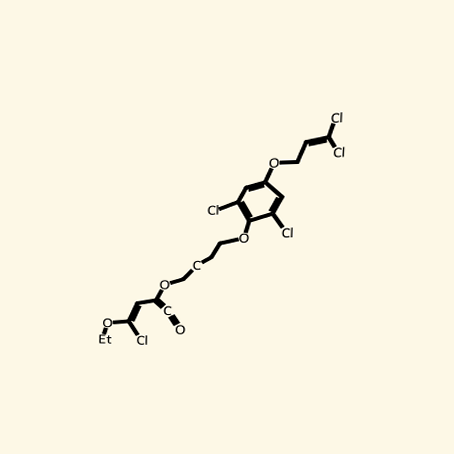 CCOC(Cl)=CC(=C=O)OCCCCOc1c(Cl)cc(OCC=C(Cl)Cl)cc1Cl